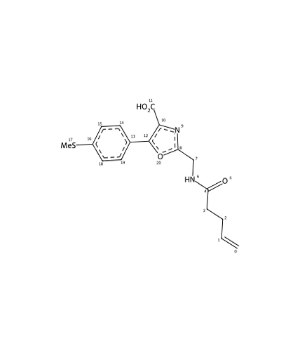 C=CCCC(=O)NCc1nc(C(=O)O)c(-c2ccc(SC)cc2)o1